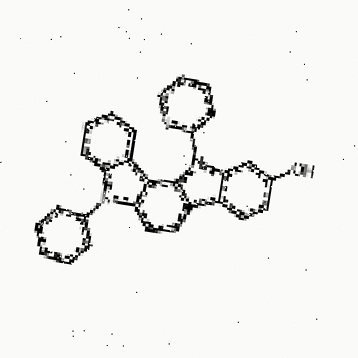 Oc1ccc2c3ccc4c(c5ccccc5n4-c4ccccc4)c3n(-c3ccccn3)c2c1